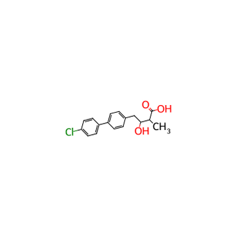 CC(C(=O)O)C(O)Cc1ccc(-c2ccc(Cl)cc2)cc1